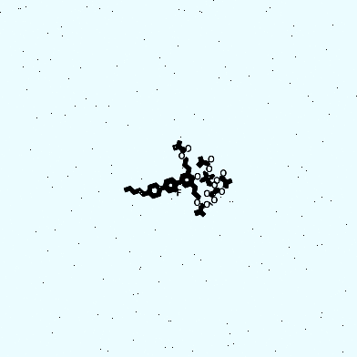 C=C(C)C(=O)OCCCc1cc(-c2ccc(C3CCC(CCCCC)CC3)cc2F)cc(CCCOC(=O)C(=C)C)c1OCC(COC(=O)C(=C)C)(COC(=O)C(=C)C)COC(=O)C(=O)OC